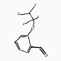 O=Cc1ccccc1OC(F)(F)C(F)F